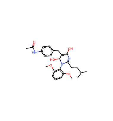 COc1cccc(OC)c1N1C(CCC(C)C)=NC(O)=C(Cc2ccc(NC(C)=O)cc2)C1O